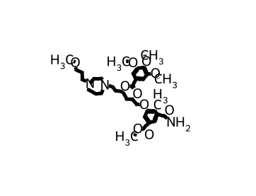 COCCCN1CCCN(CCC(CCCOc2cc(C(=O)OC)cc(C(N)=O)c2C)OC(=O)c2cc(OC)c(OC)c(OC)c2)CC1